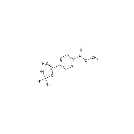 [2H]C([2H])([2H])O[C@@H](C)c1ccc(C(=O)OC)cc1